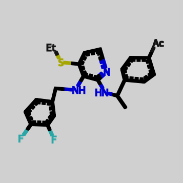 CCSc1ccnc(NC(C)c2ccc(C(C)=O)cc2)c1NCc1ccc(F)c(F)c1